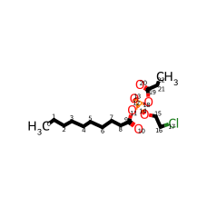 CCCCCCCCCC(=O)OP(=O)(OCCCl)OC(=O)CC